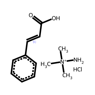 C[N+](C)(C)N.Cl.O=C(O)/C=C/c1ccccc1